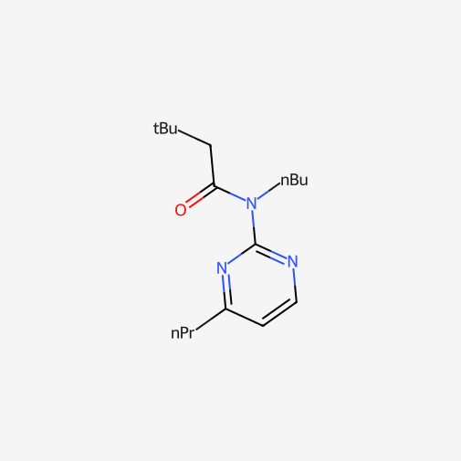 CCCCN(C(=O)CC(C)(C)C)c1nccc(CCC)n1